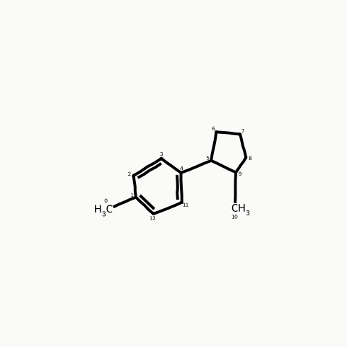 Cc1ccc(C2CCCC2C)cc1